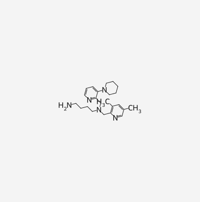 Cc1cnc(CN(CCCCN)Cc2ncccc2N2CCCCC2)c(C)c1